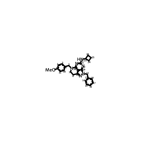 COc1ccc(CN2CCc3nn(Cc4ccccc4)c4nc(NC5CCC5)nc2c34)cc1